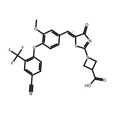 COc1cc(/C=C2\SC(N3CC(C(=O)O)C3)=NC2=O)ccc1Oc1ccc(C#N)cc1C(F)(F)F